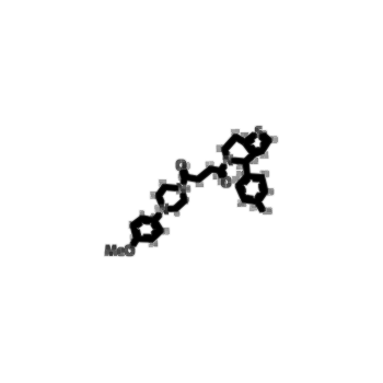 COc1ccc(N2CCN(C(=O)CCC(=O)N3CCc4sccc4C3c3ccc(C)cc3)CC2)cc1